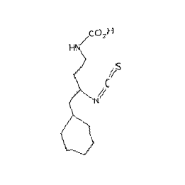 O=C(O)NCCC(CC1CCCCC1)N=C=S